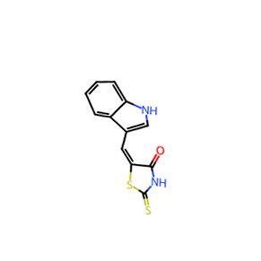 O=C1NC(=S)S/C1=C/c1c[nH]c2ccccc12